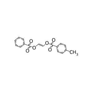 Cc1ccc(S(=O)(=O)OC=COS(=O)(=O)c2ccccc2)cc1